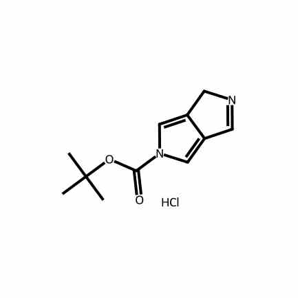 CC(C)(C)OC(=O)n1cc2c(c1)CN=C2.Cl